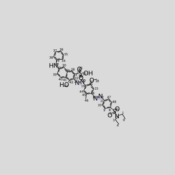 CCN(CC)S(=O)(=O)c1ccc(/N=N/c2cc(OC)c(/N=N/c3c(S(=O)(=O)O)cc4cc(Nc5ccccc5)ccc4c3O)cc2C)cc1